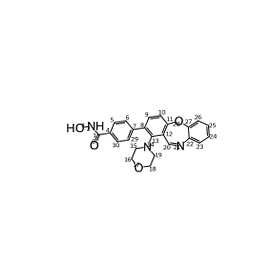 O=C(NO)c1ccc(-c2ccc3c(c2N2CCOCC2)C=Nc2ccccc2O3)cc1